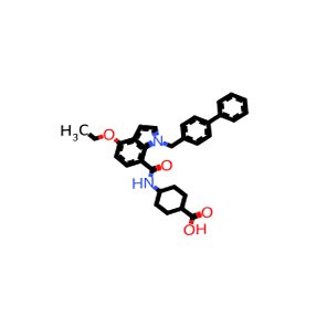 CCOc1ccc(C(=O)NC2CCC(C(=O)O)CC2)c2c1ccn2Cc1ccc(-c2ccccc2)cc1